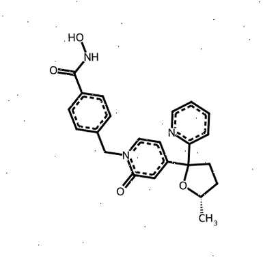 C[C@H]1CCC(c2ccn(Cc3ccc(C(=O)NO)cc3)c(=O)c2)(c2ccccn2)O1